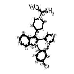 Cn1cncc1-c1c(C2CCN(C(N)O)CC2)c2ccncc2n1-c1ccc(Cl)cc1